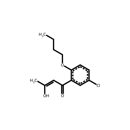 CCCCOc1ccc(Cl)cc1C(=O)/C=C(/C)O